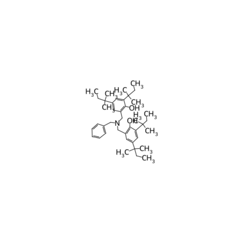 CCC(C)(C)c1cc(CN(Cc2ccccc2)Cc2cc(C(C)(C)CC)cc(C(C)(C)CC)c2O)c(O)c(C(C)(C)CC)c1